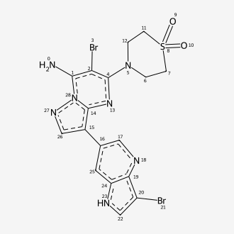 Nc1c(Br)c(N2CCS(=O)(=O)CC2)nc2c(-c3cnc4c(Br)c[nH]c4c3)cnn12